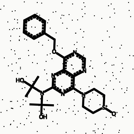 CC(C)(O)N(c1nc(N2CC[S+]([O-])CC2)c2ncnc(OCc3ccccc3)c2n1)C(C)(C)O